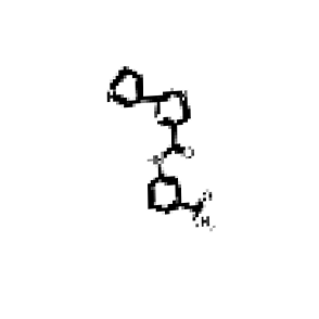 NC(=O)c1cccc(NC(=O)c2cncc(-c3cccnc3)n2)c1